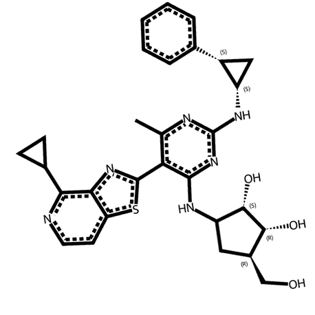 Cc1nc(N[C@H]2C[C@H]2c2ccccc2)nc(NC2C[C@H](CO)[C@@H](O)[C@H]2O)c1-c1nc2c(C3CC3)nccc2s1